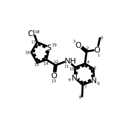 COC(=O)c1cnc(C)nc1NC(=O)c1ccc(Cl)s1